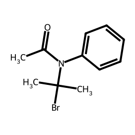 CC(=O)N(c1ccccc1)C(C)(C)Br